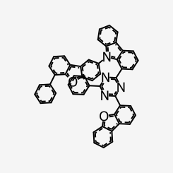 c1ccc(-c2nc(-c3cccc4c3oc3ccccc34)nc(-c3cccc4c5ccccc5n(-c5ccc6oc7c(-c8ccccc8)cccc7c6c5)c34)n2)cc1